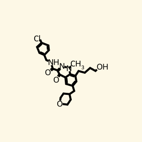 Cn1nc(C(=O)NCc2ccc(Cl)cc2)c(=O)c2cc(CC3CCOCC3)cc(CCCCO)c21